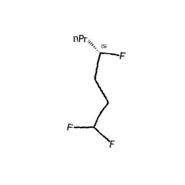 [CH2]CC[C@H](F)CCC(F)F